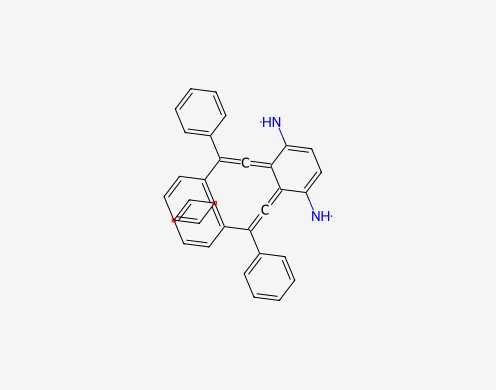 [NH]c1ccc([NH])c(=C=C(c2ccccc2)c2ccccc2)c1=C=C(c1ccccc1)c1ccccc1